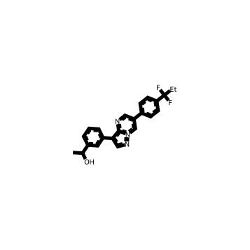 CCC(F)(F)c1ccc(-c2cnc3c(-c4cccc(C(C)O)c4)cnn3c2)cc1